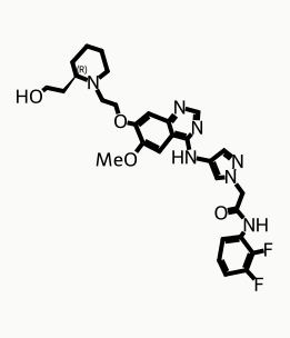 COc1cc2c(Nc3cnn(CC(=O)Nc4cccc(F)c4F)c3)ncnc2cc1OCCN1CCCC[C@@H]1CCO